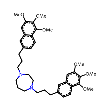 COc1cc2cc(CCCN3CCCN(CCCc4ccc5c(OC)c(OC)c(OC)cc5c4)CC3)ccc2c(OC)c1OC